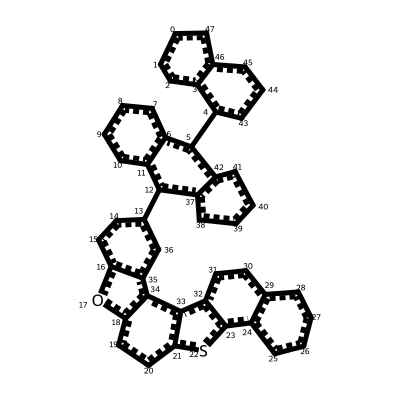 c1ccc2c(-c3c4ccccc4c(-c4ccc5oc6ccc7sc8c9ccccc9ccc8c7c6c5c4)c4ccccc34)cccc2c1